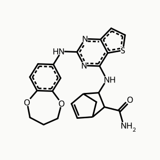 NC(=O)C1C2C=CC(C2)C1Nc1nc(Nc2ccc3c(c2)OCCCO3)nc2ccsc12